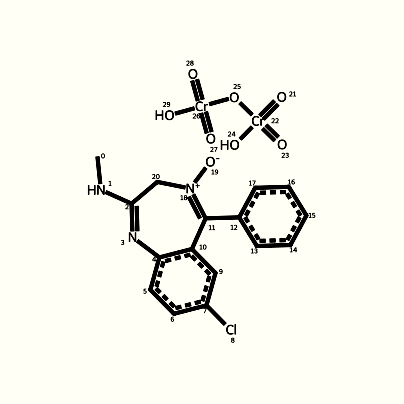 CNC1=Nc2ccc(Cl)cc2C(c2ccccc2)=[N+]([O-])C1.[O]=[Cr](=[O])([OH])[O][Cr](=[O])(=[O])[OH]